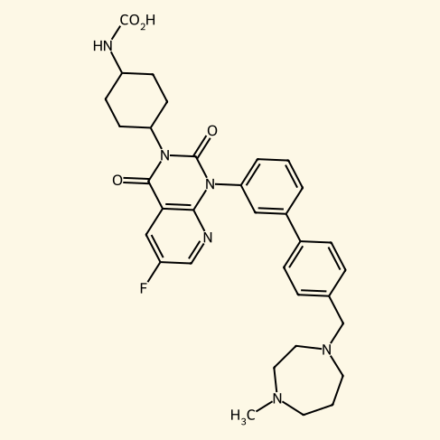 CN1CCCN(Cc2ccc(-c3cccc(-n4c(=O)n(C5CCC(NC(=O)O)CC5)c(=O)c5cc(F)cnc54)c3)cc2)CC1